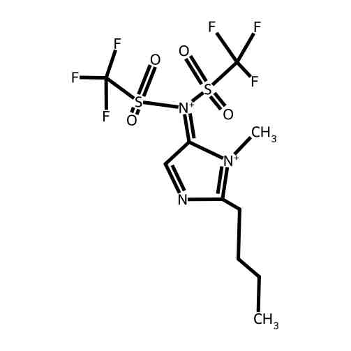 CCCCC1=[N+](C)C(=[N+](S(=O)(=O)C(F)(F)F)S(=O)(=O)C(F)(F)F)C=N1